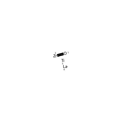 [La].[O]=[Zr].[Ti]